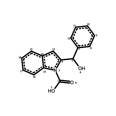 O=C(O)n1c(C(O)c2ccccc2)cc2ccccc21